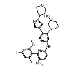 COc1cc(F)cc(F)c1-c1nc(Nc2cc(N3CCC[C@H](O)C3)c(-c3cnn(C4CCOCC4)c3)cn2)ccc1N